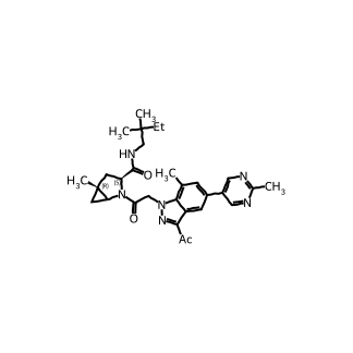 CCC(C)(C)CNC(=O)[C@@H]1C[C@@]2(C)CC2N1C(=O)Cn1nc(C(C)=O)c2cc(-c3cnc(C)nc3)cc(C)c21